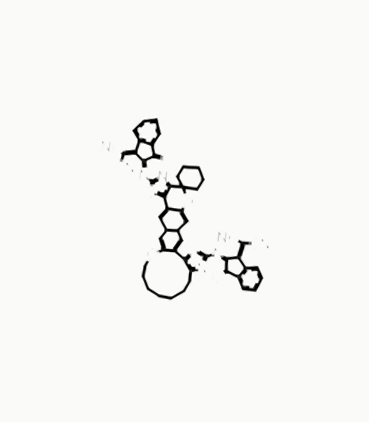 N#CC(C#N)=C1/C(=N/c2nc3c(s2)C2=CC4C=C5OC6(CCCCC6)c6nc(/N=C7\C(=O)c8ccccc8C7=C(C#N)C#N)sc6C5=CC4C=C2OCCCCCCC3)C(=O)c2ccccc21